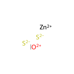 [O+2].[S-2].[S-2].[Zn+2]